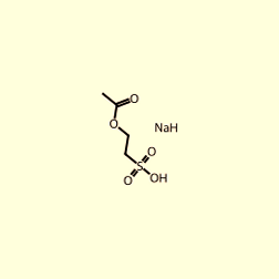 CC(=O)OCCS(=O)(=O)O.[NaH]